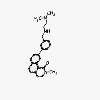 CN(C)CCNCc1cccc(-c2ccc3ccc4ccn(C)c(=O)c4c3c2)c1